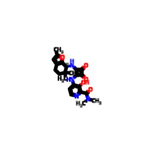 Cc1cc2c(o1)[C@@H](Nc1c(Nc3ccnc(C(=O)N(C)C)c3O)c(=O)c1=O)C(C)(C)CC2